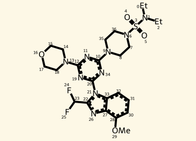 CCN(CC)S(=O)(=O)N1CCN(c2nc(N3CCOCC3)nc(-n3c(C(F)F)nc4c(OC)cccc43)n2)CC1